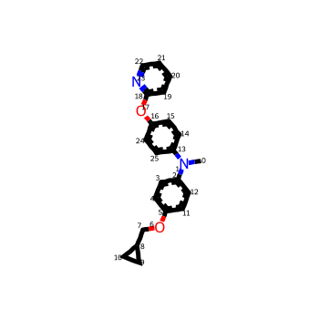 CN(c1ccc(OCC2CC2)cc1)c1ccc(Oc2ccccn2)cc1